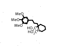 COc1cc(CCCC2(C(=O)O)CCCCN2C(=O)O)cc(OC)c1OC